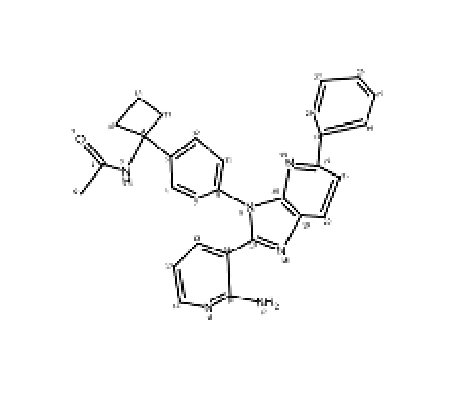 CC(=O)NC1(c2ccc(-n3c(-c4cccnc4N)nc4ccc(-c5ccccc5)nc43)cc2)CCC1